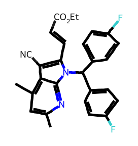 CCOC(=O)/C=C/c1c(C#N)c2c(C)cc(C)nc2n1C(c1ccc(F)cc1)c1ccc(F)cc1